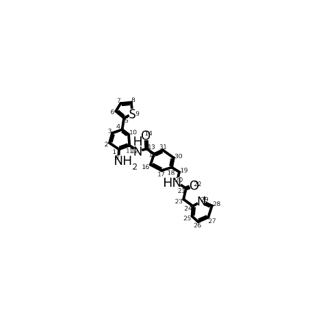 Nc1ccc(-c2cccs2)cc1NC(=O)c1ccc(CNC(=O)Cc2ccccn2)cc1